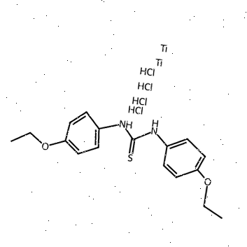 CCOc1ccc(NC(=S)Nc2ccc(OCC)cc2)cc1.Cl.Cl.Cl.Cl.[Ti].[Ti]